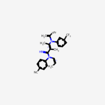 C=C(CCC)N(/C(C)=C(\C)C(=N)N(/C=C\C)c1ccc(C#N)cc1)c1cccc(C(F)(F)F)c1